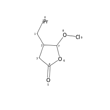 CC(C)CC1CC(=O)OC1OCl